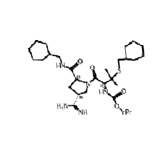 CCCOC(=O)N[C@@H](C(=O)N1C[C@H](C(=N)N)C[C@H]1C(=O)NCC1CCCCC1)C(C)(C)SCC1CCCCC1